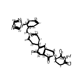 O=C1CCC(N2Cc3cc(C4CCN(Cc5ccccc5-n5cncn5)CC4)c(F)cc3C2=O)C(=O)N1